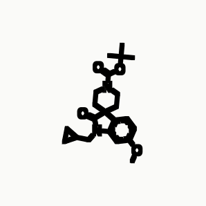 COc1ccc2c(c1)N(CC1CC1)C(=O)C21CCN(C(=O)OC(C)(C)C)CC1